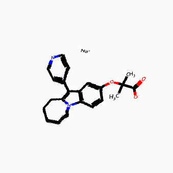 CC(C)(Oc1ccc2c(c1)c(-c1ccncc1)c1n2CCCCC1)C(=O)[O-].[Na+]